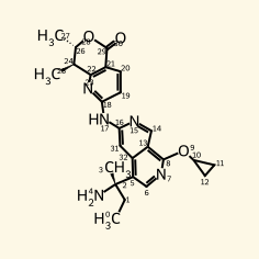 CC[C@](C)(N)c1cnc(OC2CC2)c2cnc(Nc3ccc4c(n3)[C@@H](C)[C@H](C)OC4=O)cc12